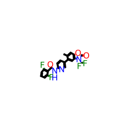 Cc1cc2oc(=O)n(C(F)F)c2cc1-c1ccc(NC(=O)c2c(F)cccc2F)nc1